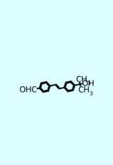 CC(C)(O)c1ccc(/C=C/c2ccc(C=O)cc2)cc1